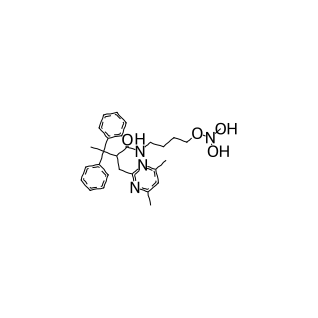 Cc1cc(C)nc(CC(C(=O)NCCCCON(O)O)C(C)(c2ccccc2)c2ccccc2)n1